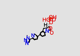 Cn1nncc1-c1ccc(-c2ccc3c(c2)C[C@H]2[C@H](COP(=O)(O)O)OC(=O)N32)cn1